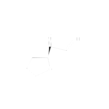 O=C(C=[PH3])[C@@H]1CCCO1